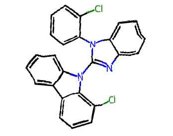 Clc1ccccc1-n1c(-n2c3ccccc3c3cccc(Cl)c32)nc2ccccc21